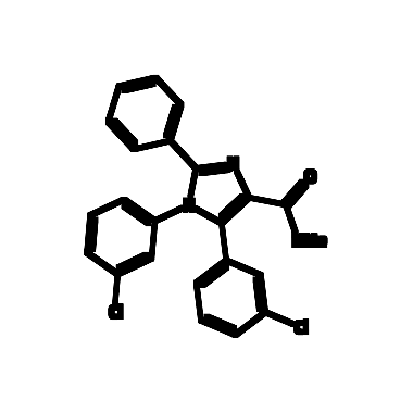 CNC(=O)c1nc(-c2ccccc2)n(-c2cccc(Cl)c2)c1-c1cccc(Cl)c1